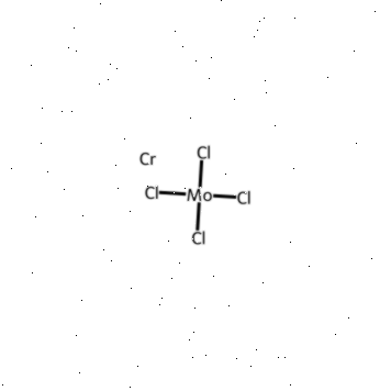 [Cl][Mo]([Cl])([Cl])[Cl].[Cr]